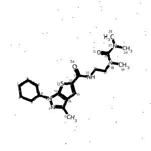 Cc1nn(C2CCCCC2)c2sc(C(=O)NCCN(C)C(=O)N(C)C)cc12